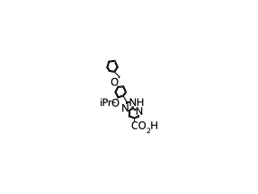 CC(C)Oc1cc(OCc2ccccc2)ccc1-c1nc2cc(C(=O)O)cnc2[nH]1